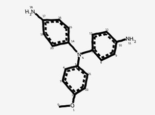 COc1ccc(N(c2ccc(N)cc2)c2ccc(N)cc2)cc1